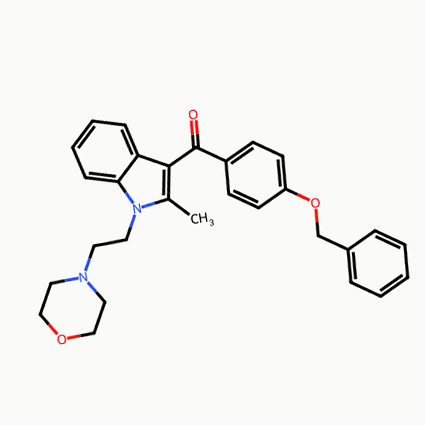 Cc1c(C(=O)c2ccc(OCc3ccccc3)cc2)c2ccccc2n1CCN1CCOCC1